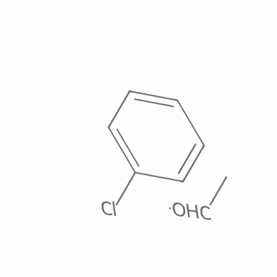 C[C]=O.Clc1ccccc1